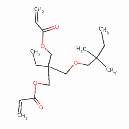 [CH2]C([CH2])(CC)COCC(CC)(COC(=O)C=C)COC(=O)C=C